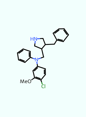 COc1cc(N(CC2CNCC2Cc2ccccc2)c2ccccc2)ccc1Cl